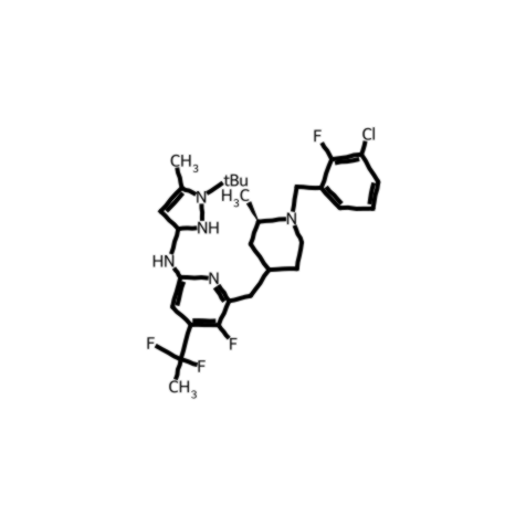 CC1=CC(Nc2cc(C(C)(F)F)c(F)c(CC3CCN(Cc4cccc(Cl)c4F)[C@H](C)C3)n2)NN1C(C)(C)C